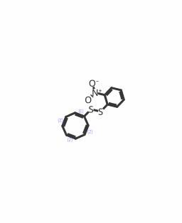 O=[N+]([O-])c1ccccc1SSC1=C/C=C\C=C/C=C\1